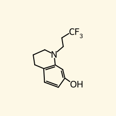 Oc1ccc2c(c1)N(CCC(F)(F)F)CCC2